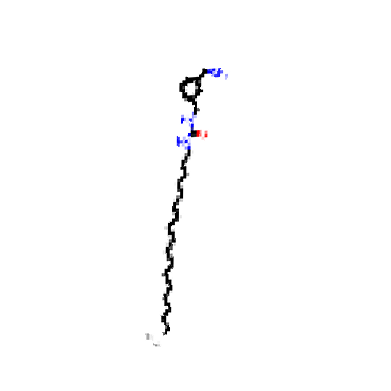 CCCCCCCCCCCCCCCCCCNC(=O)NCc1cccc(CN)c1